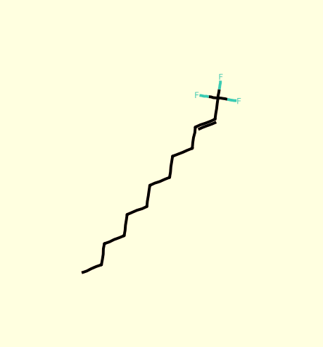 CCCCCCCCCC/C=C/C(F)(F)F